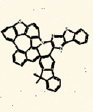 CC1(C)c2ccccc2-c2cc(-c3nc4c(nc3-n3c5ccc6cccc7c6c5c5c6c(ccc53)sc3cccc-7c36)sc3ccccc34)ccc21